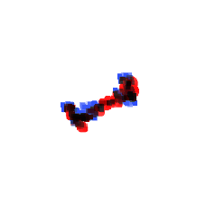 CCN(c1cc(-c2ccc(CN3CCN(CC(=O)NCCOCCOCCOCCC(=O)NCCNc4cccc5c4C(=O)N(C(C=O)CCC(=O)NC)C5=O)CC3)cc2)cc(C(=O)NCc2c(C)cc(C)[nH]c2=O)c1C)C1CCOCC1